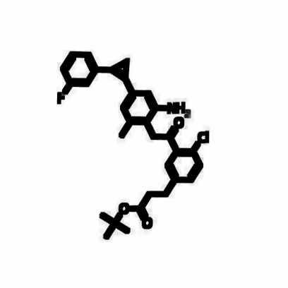 Cc1cc(C2=C(c3cccc(F)c3)C2)cc(N)c1CC(=O)c1cc(CCC(=O)OC(C)(C)C)ccc1Cl